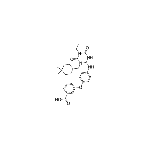 CCN1C(=O)NC(Nc2ccc(Oc3ccnc(C(=O)O)c3)cc2)N(CC2CCC(C)(C)CC2)C1=O